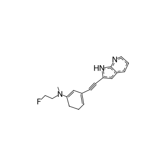 CN(CCF)C1=CC(C#Cc2cc3cccnc3[nH]2)=CCC1